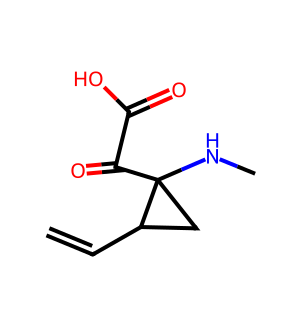 C=CC1CC1(NC)C(=O)C(=O)O